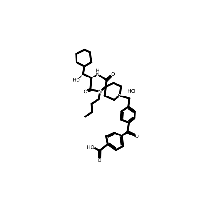 CCCCN1C(=O)[C@@H]([C@H](O)C2CCCCC2)NC(=O)C12CCN(Cc1ccc(C(=O)c3ccc(C(=O)O)cc3)cc1)CC2.Cl